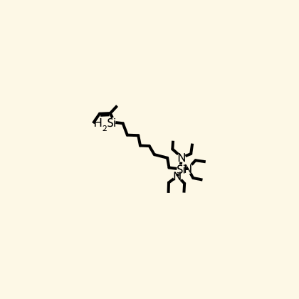 CC=C(C)[SiH2]CCCCCCCC[Si](N(CC)CC)(N(CC)CC)N(CC)CC